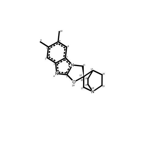 Cc1cc2nc3n(c2cc1C)C[C@@]1(CN2CCC1CC2)O3